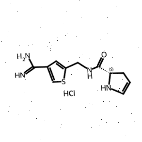 Cl.N=C(N)c1csc(CNC(=O)[C@@H]2CC=CN2)c1